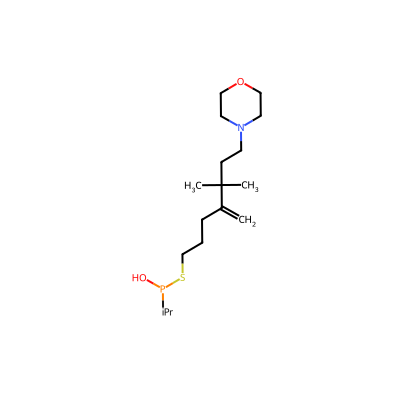 C=C(CCCSP(O)C(C)C)C(C)(C)CCN1CCOCC1